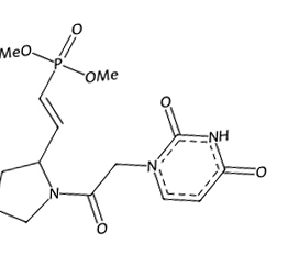 COP(=O)(/C=C/C1CCCN1C(=O)Cn1ccc(=O)[nH]c1=O)OC